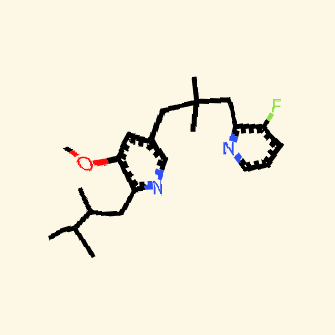 COc1cc(CC(C)(C)Cc2ncccc2F)cnc1CC(C)C(C)C